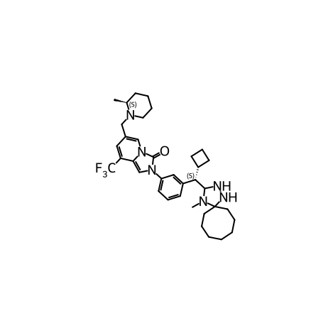 C[C@H]1CCCCN1Cc1cc(C(F)(F)F)c2cn(-c3cccc([C@H](C4CCC4)C4NNC5(CCCCCCC5)N4C)c3)c(=O)n2c1